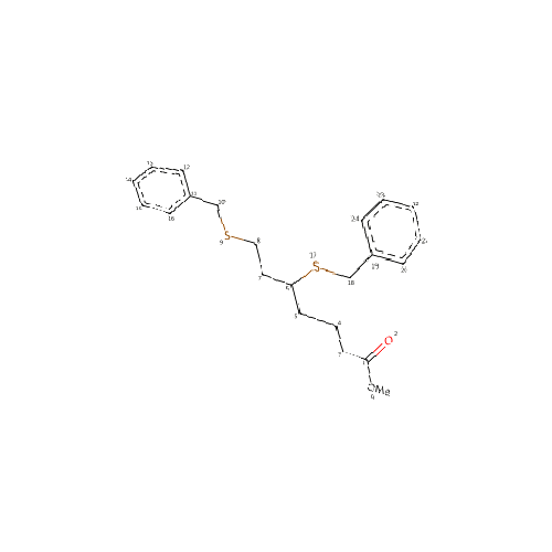 COC(=O)CCCC(CCSCc1ccccc1)SCc1ccccc1